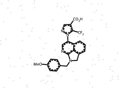 COc1ccc(CN2Cc3cccc4c(-n5ncc(C(=O)O)c5C(F)(F)F)cnc2c34)cc1